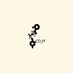 Cc1ccc(/C=N/N(C)c2nc(-c3ccccc3C)cs2)c(C(=O)O)c1